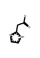 [O]C(=O)Cc1ncc[nH]1